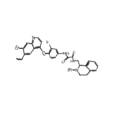 C=Cc1cc2c(Oc3ccc(NC(=O)C(=O)NCC4c5ccccc5CCN4C(C)C)cc3F)ccnc2cc1CC